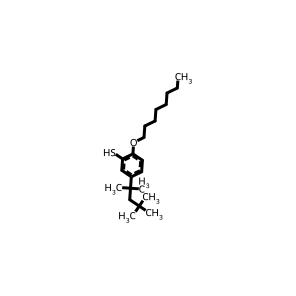 CCCCCCCCOc1ccc(C(C)(C)CC(C)(C)C)cc1S